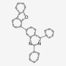 c1ccc(-c2nc(-c3ccccc3)c3ccc(-c4cccc5c4oc4ccccc45)cc3n2)cc1